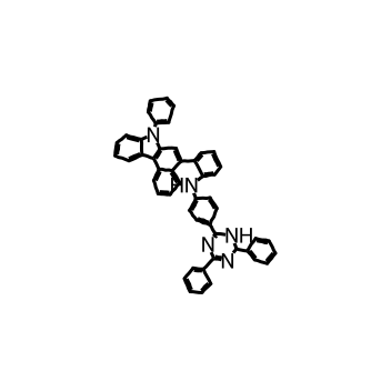 c1ccc(C2=NC(c3ccccc3)NC(c3ccc(Nc4ccccc4-c4cc5c(c6ccccc46)c4ccccc4n5-c4ccccc4)cc3)=N2)cc1